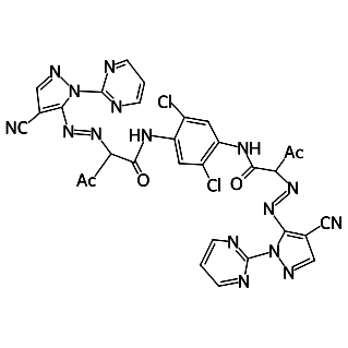 CC(=O)C(N=Nc1c(C#N)cnn1-c1ncccn1)C(=O)Nc1cc(Cl)c(NC(=O)C(N=Nc2c(C#N)cnn2-c2ncccn2)C(C)=O)cc1Cl